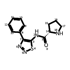 O=C(Nc1snnc1-c1ccccc1)[C@@H]1CCCN1